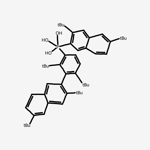 CC(C)(C)c1ccc2cc(-c3c(C(C)(C)C)ccc(P(O)(O)(O)c4cc5ccc(C(C)(C)C)cc5cc4C(C)(C)C)c3C(C)(C)C)c(C(C)(C)C)cc2c1